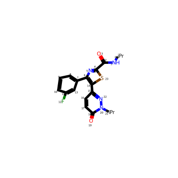 CC(C)NC(=O)c1nc(-c2cccc(F)c2)c(-c2ccc(=O)n(C(C)C)n2)s1